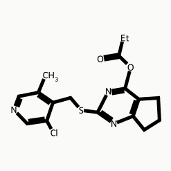 CCC(=O)Oc1nc(SCc2c(C)cncc2Cl)nc2c1CCC2